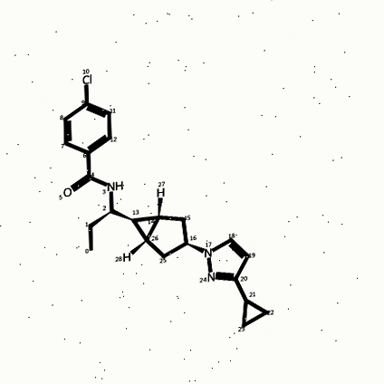 CC[C@@H](NC(=O)c1ccc(Cl)cc1)[C@H]1[C@@H]2C[C@@H](n3ccc(C4CC4)n3)C[C@@H]21